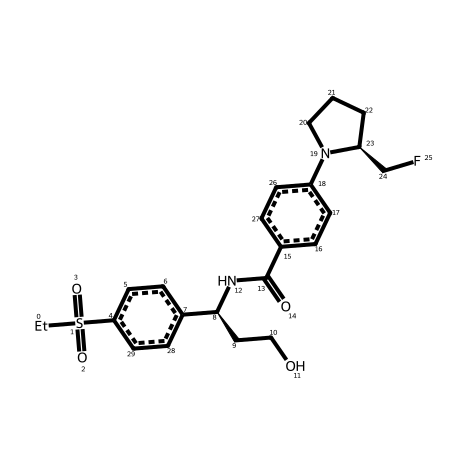 CCS(=O)(=O)c1ccc([C@H](CCO)NC(=O)c2ccc(N3CCC[C@H]3CF)cc2)cc1